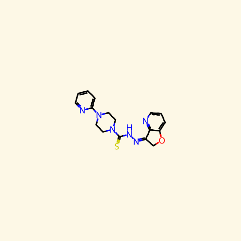 S=C(N/N=C1/COc2cccnc21)N1CCN(c2ccccn2)CC1